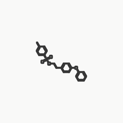 Cc1ccc(S(=O)(=O)OCCc2ccc(Oc3ccccc3)cc2)cc1